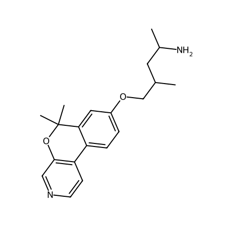 CC(N)CC(C)COc1ccc2c(c1)C(C)(C)Oc1cnccc1-2